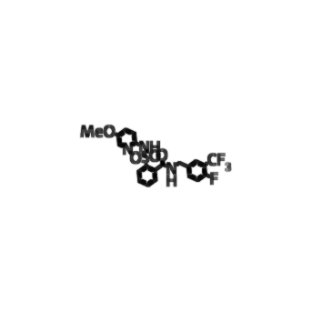 COc1ccc(NS(=O)(=O)c2ccccc2C(=O)NCc2ccc(F)c(C(F)(F)F)c2)nc1